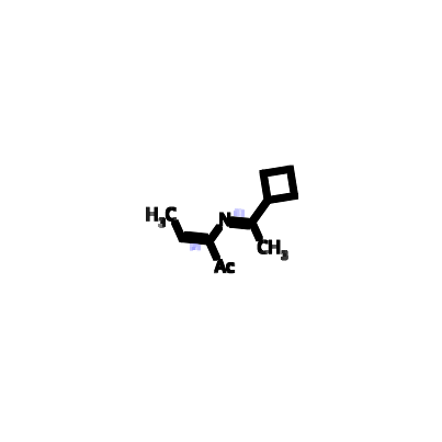 C/C=C(\N=C(/C)C1CCC1)C(C)=O